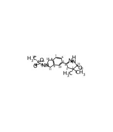 CC1(C)CC(c2ccc3c(c2)CC(NS(C)(=O)=O)C3)=NNC1=O